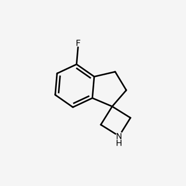 Fc1cccc2c1CCC21CNC1